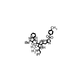 CC[C@H](C)[C@H](N)C(=O)C(NC(=O)[C@@](C(=O)[C@@H](N)Cc1cn(S(=O)(=O)c2ccc(C)cc2)cn1)(C(C)C)C(C)[C@H](O)[C@@H](N)CC(C)C)c1ccccn1